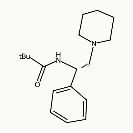 CC(C)(C)C(=O)N[C@H](CN1CCCCC1)c1ccccc1